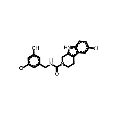 O=C(NCc1cc(O)cc(Cl)c1)N1CCc2c([nH]c3ccc(Cl)cc23)C1